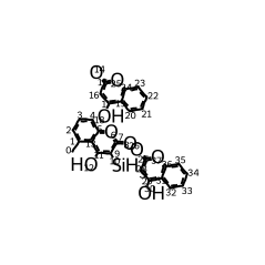 Cc1cccc2oc(=O)c([SiH3])c(O)c12.O=c1cc(O)c2ccccc2o1.O=c1cc(O)c2ccccc2o1